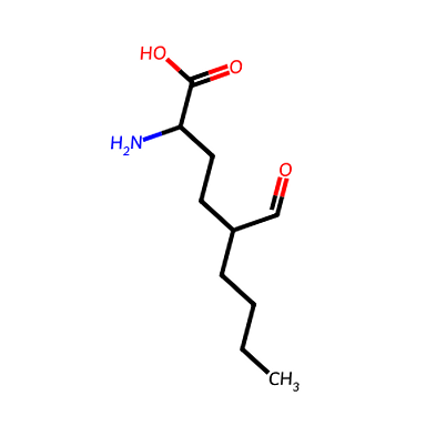 CCCCC(C=O)CCC(N)C(=O)O